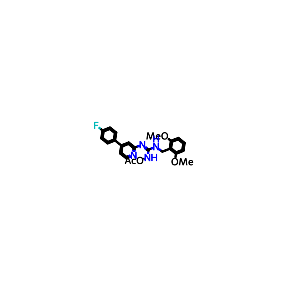 COc1cccc(OC)c1CNC(=Nc1cc(-c2ccc(F)cc2)ccn1)NOC(C)=O